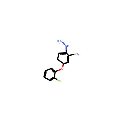 CC1=CC(Oc2ccccc2F)CC=C1NN